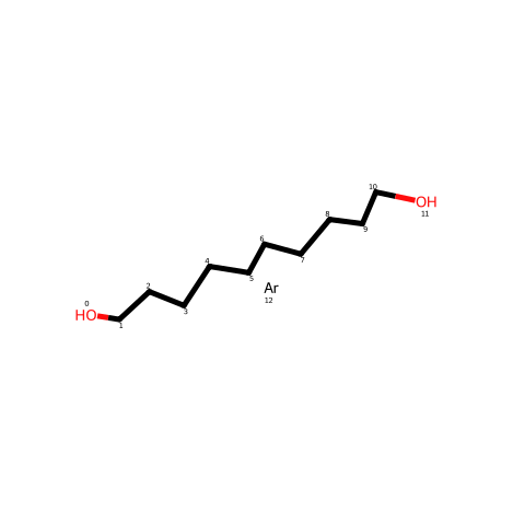 OCCCCCCCCCCO.[Ar]